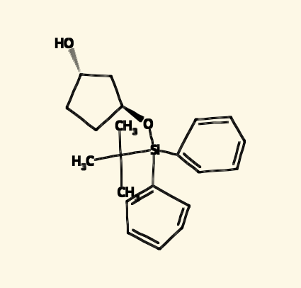 CC(C)(C)[Si](O[C@H]1CC[C@H](O)C1)(c1ccccc1)c1ccccc1